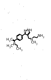 C=C(c1ccc(-c2n[nH]cc2CN(C)CCN)cc1)N(C)CC